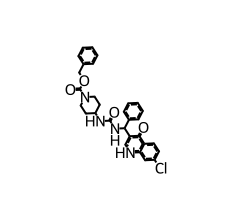 O=C(NC1CCN(C(=O)OCc2ccccc2)CC1)NC(c1ccccc1)c1c[nH]c2cc(Cl)ccc2c1=O